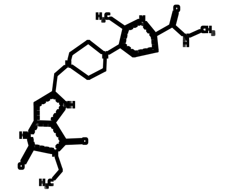 CCn1c(=O)[nH]c2cc(CN3CCN(c4ccc(C(=O)NC)nc4C)CC3)[nH]c2c1=O